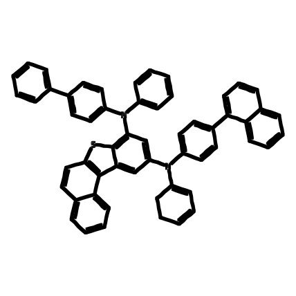 C1=CCCC(N(c2ccc(-c3cccc4ccccc34)cc2)c2cc(N(c3ccccc3)c3ccc(-c4ccccc4)cc3)c3sc4ccc5ccccc5c4c3c2)=C1